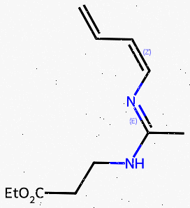 C=C/C=C\N=C(/C)NCCC(=O)OCC